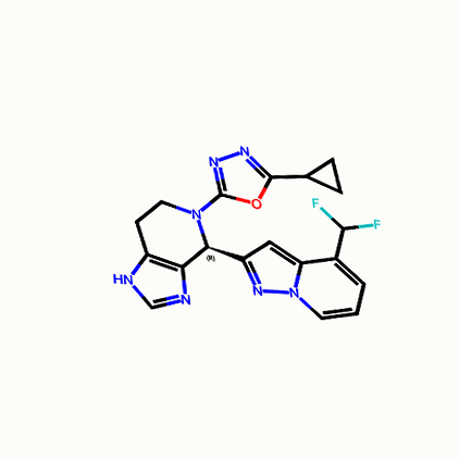 FC(F)c1cccn2nc([C@H]3c4nc[nH]c4CCN3c3nnc(C4CC4)o3)cc12